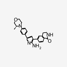 C[C@H]1COCCN1c1ccc(-c2cnc(N)c(-c3ccc4c(c3)CCNC4=O)c2)cc1